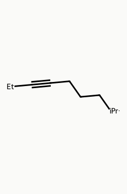 CCC#CCCC[C](C)C